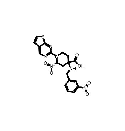 O=C(O)C1(NCc2cccc([N+](=O)[O-])c2)CCN(c2ncc3ccsc3n2)C([N+](=O)[O-])C1